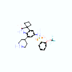 O=C1Nc2c(C3CCNCC3)cc(NS(=O)(=O)c3ccccc3OC(F)(F)F)cc2C12CCC2